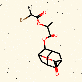 CCC(Br)C(=O)OC(C)C(=O)OC1C2CC3CC(C2)C(=O)OC1C3